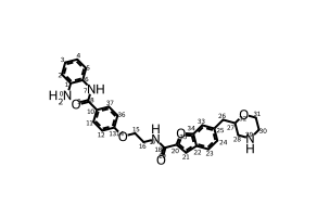 Nc1ccccc1NC(=O)c1ccc(OCCNC(=O)c2cc3ccc(CC4CNCCO4)cc3o2)cc1